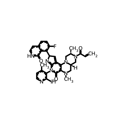 C=CC(=O)N1C[C@@H]2CN(C)c3c(c4c(n(-c5c(C)ccnc5C(C)C)c3=O)=NC(c3c(F)ccc5cc[nH]c(=O)c35)C=4)N2C[C@H]1C